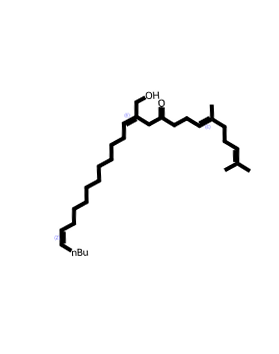 CCCC/C=C\CCCCCCCCC/C=C(/CO)CC(=O)CC/C=C(\C)CCC=C(C)C